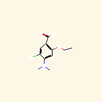 CCOc1cc(N(C)C)c(Cl)cc1C(=O)O